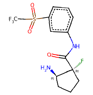 N[C@@H]1CCC[C@]1(F)C(=O)Nc1cccc(S(=O)(=O)C(F)(F)F)c1